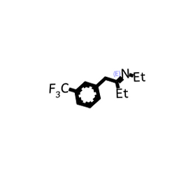 CC/N=C(\CC)Cc1cccc(C(F)(F)F)c1